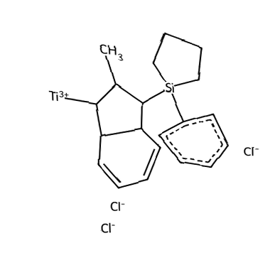 CC1[CH]([Ti+3])C2C=CC=CC2C1[Si]1(c2ccccc2)CCCC1.[Cl-].[Cl-].[Cl-]